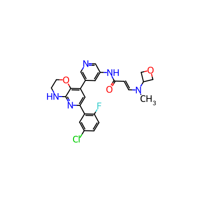 CN(C=CC(=O)Nc1cncc(-c2cc(-c3cc(Cl)ccc3F)nc3c2OCCN3)c1)C1COC1